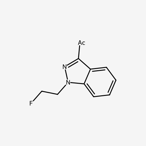 CC(=O)c1nn(CCF)c2ccccc12